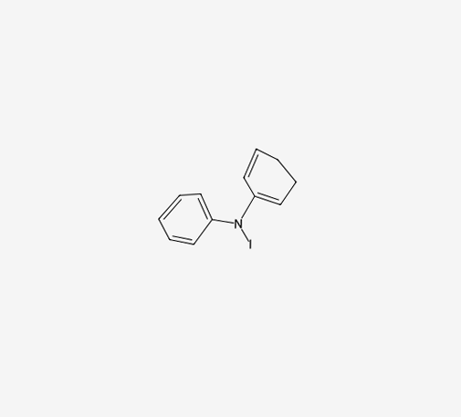 IN(C1=CCCC=C1)c1ccccc1